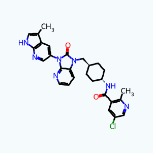 Cc1ncc(Cl)cc1C(=O)N[C@H]1CC[C@H](Cn2c(=O)n(-c3cnc4[nH]cc(C)c4c3)c3ncccc32)CC1